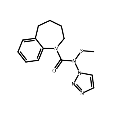 CSN(C(=O)N1CCCCc2ccccc21)n1ccnn1